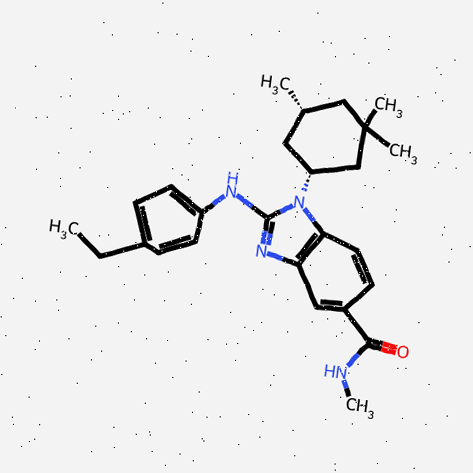 CCc1ccc(Nc2nc3cc(C(=O)NC)ccc3n2[C@@H]2C[C@H](C)CC(C)(C)C2)cc1